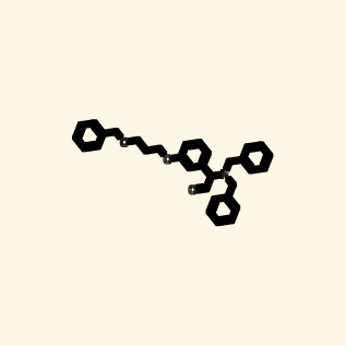 O=CC(c1cccc(OCCCOCc2ccccc2)c1)N(Cc1ccccc1)Cc1ccccc1